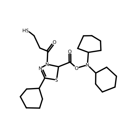 O=C(ON(C1CCCCC1)C1CCCCC1)C1SC(C2CCCCC2)=NN1C(=O)CCS